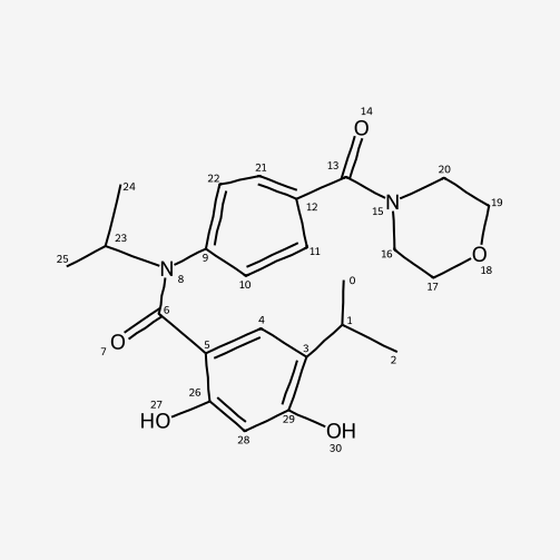 CC(C)c1cc(C(=O)N(c2ccc(C(=O)N3CCOCC3)cc2)C(C)C)c(O)cc1O